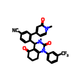 CN1C(=O)N(c2cccc(C(F)(F)F)c2)C2=C(C(=O)CCC2)C1c1ccc(C#N)cc1-c1ccn(C)c(=O)c1